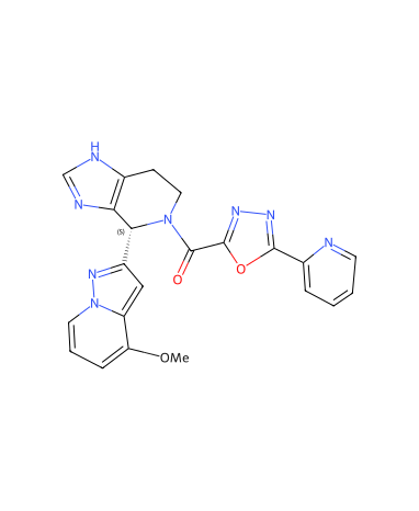 COc1cccn2nc([C@@H]3c4nc[nH]c4CCN3C(=O)c3nnc(-c4ccccn4)o3)cc12